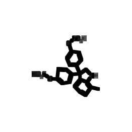 Cc1cccc2c1NCC2(c1ccc(OS(=O)(=O)O)cc1)c1ccc(OS(=O)(=O)O)cc1